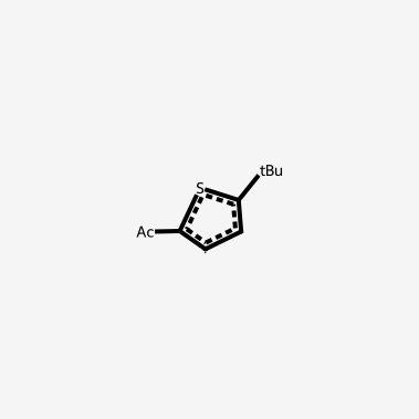 CC(=O)c1[c]cc(C(C)(C)C)s1